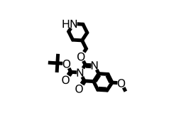 COc1ccc2c(=O)n(C(=O)OC(C)(C)C)c(OCC3CCNCC3)nc2c1